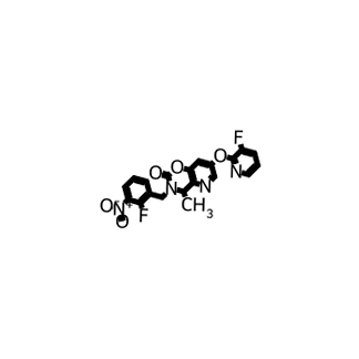 CC1c2ncc(Oc3ncccc3F)cc2OC(=O)N1Cc1cccc([N+](=O)[O-])c1F